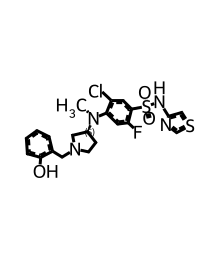 CN(c1cc(F)c(S(=O)(=O)Nc2cscn2)cc1Cl)[C@H]1CCN(Cc2ccccc2O)C1